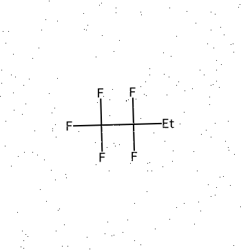 [CH2]CC(F)(F)C(F)(F)F